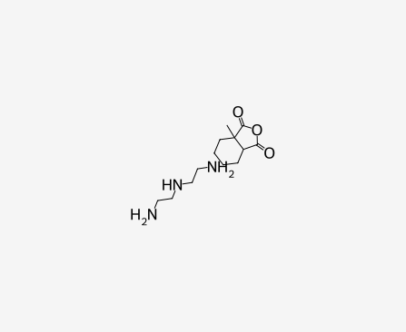 CC12CCCCC1C(=O)OC2=O.NCCNCCN